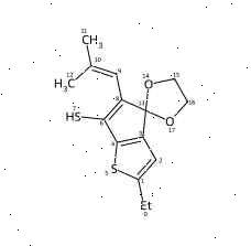 CCc1cc2c(s1)C(S)=C(C=C(C)C)C21OCCO1